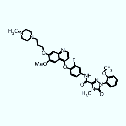 COc1cc2c(Oc3ccc(NC(=O)c4nn(-c5ccccc5OC(F)(F)F)c(=O)n4C)cc3F)ccnc2cc1OCCCN1CCN(C)CC1